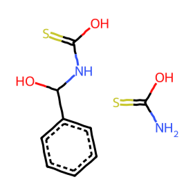 NC(O)=S.OC(=S)NC(O)c1ccccc1